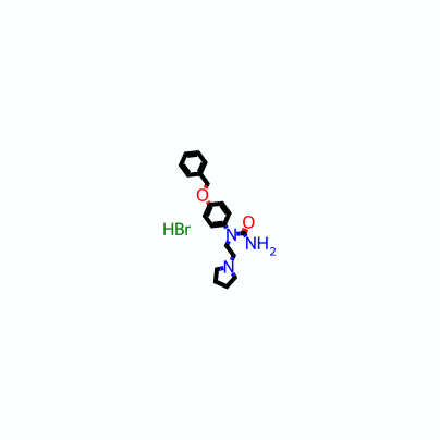 Br.NC(=O)N(CCN1CCCC1)c1ccc(OCc2ccccc2)cc1